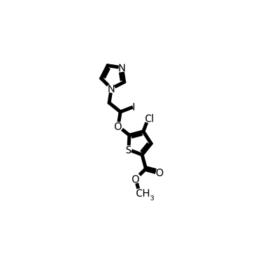 COC(=O)c1cc(Cl)c(OC(I)Cn2ccnc2)s1